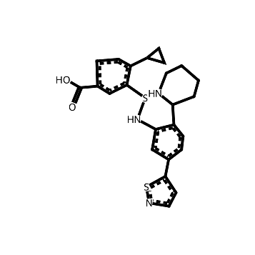 O=C(O)c1ccc(C2CC2)c(SNc2cc(-c3ccns3)ccc2C2CCCCN2)c1